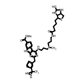 COC(=O)c1ccc2c(c1)[nH]c1nc(Cc3cccc(C4(C(F)(F)F)NN4)c3)nc(NCCCN(C)CCCNC(=O)CCCCC3SCC4NC(O)NC43)c12